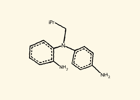 CC(C)CN(c1ccc(N)cc1)c1ccccc1N